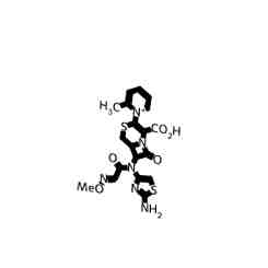 CON=CC(=O)N(c1csc(N)n1)C1C(=O)N2C(C(=O)O)=C([n+]3ccccc3C)SCC12